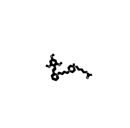 COc1cc(OC)c(/C=C/c2cccc[n+]2CCCCN2CC[N+](C)(CCCCSC(C)=O)CC2)c(OC)c1